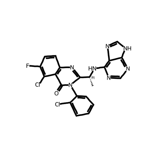 C[C@@H](Nc1ncnc2[nH]cnc12)c1nc2ccc(F)c(Cl)c2c(=O)n1-c1ccccc1Cl